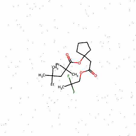 CCC(C)(C)CC(C)(C(=O)OC1(CC(=O)OCC(C)(F)F)CCCC1)C(C)C